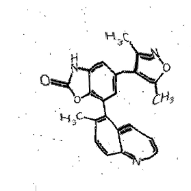 Cc1ccc2ncccc2c1-c1cc(-c2c(C)noc2C)cc2[nH]c(=O)oc12